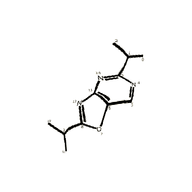 CC(C)c1ncc2oc(C(C)C)nc2n1